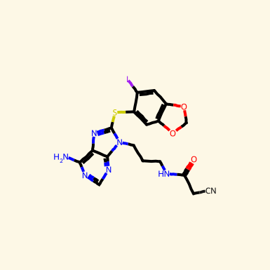 N#CCC(=O)NCCCn1c(Sc2cc3c(cc2I)OCO3)nc2c(N)ncnc21